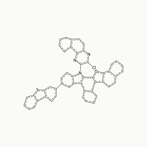 Clc1nc2ccc3ccccc3c2nc1-n1c2ccc(-c3ccc4c(c3)sc3ccccc34)cc2c2c3ccccc3c3c4ccc5ccccc5c4oc3c21